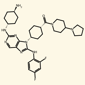 N[C@H]1CC[C@H](Nc2ncc3nc(Nc4ccc(F)cc4F)n([C@H]4CC[C@@H](C(=O)N5CCC(N6CCCC6)CC5)CC4)c3n2)CC1